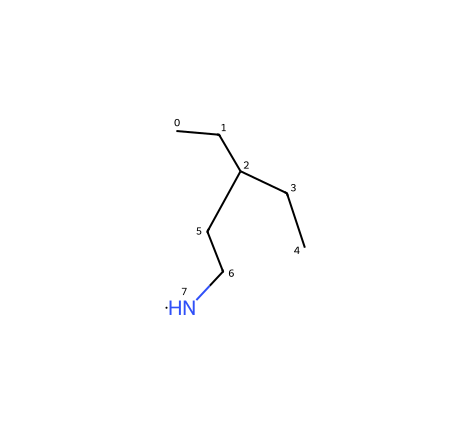 CCC(CC)CC[NH]